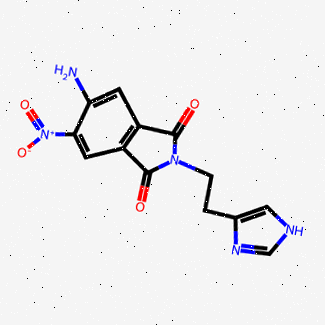 Nc1cc2c(cc1[N+](=O)[O-])C(=O)N(CCc1c[nH]cn1)C2=O